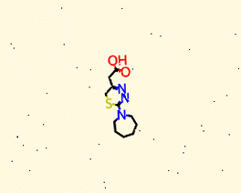 O=C(O)CC1=NN=C(N2CCCCCC2)SC1